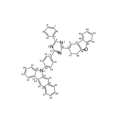 C1=C(c2nc(-c3ccccc3)nc(-c3ccc(-n4c5ccccc5c5cc6ccccc6cc54)cc3)n2)CCc2oc3ccccc3c21